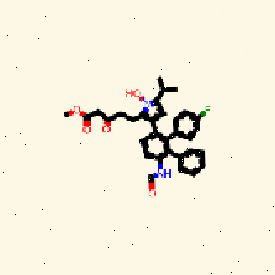 COC(=O)CC(=O)CCc1c(-c2ccc(NC=O)c(-c3ccccc3)c2-c2ccc(F)cc2)cc(C(C)C)n1O